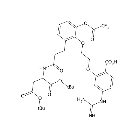 CC(C)(C)OC(=O)CC(NC(=O)CCc1cccc(OC(=O)C(F)(F)F)c1OCCOc1cc(NC(=N)N)ccc1C(=O)O)C(=O)OC(C)(C)C